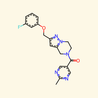 Cc1ncc(C(=O)N2CCn3nc(COc4cccc(F)c4)cc3C2)cn1